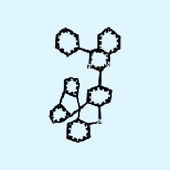 c1ccc(-c2nc(-c3ccc4c(c3)C3(c5ccccc5S4)c4ccccc4-c4ccccc43)nc3ccccc23)cc1